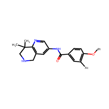 CC(=O)c1cc(C(=O)Nc2cnc3c(c2)CNCC3(C)C)ccc1OC(C)C